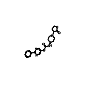 O=C(NN1CCN(C2CCOC2=O)CC1)Oc1cnc(-c2ccccc2)nc1